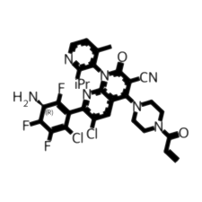 C=CC(=O)N1CCN(c2c(C#N)c(=O)n(-c3c(C)ccnc3C(C)C)c3nc(C4=C(F)[C@H](N)C(F)C(F)=C4Cl)c(Cl)cc23)CC1